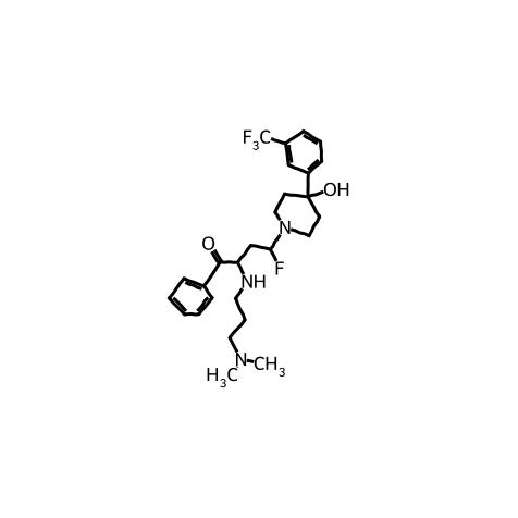 CN(C)CCCNC(CC(F)N1CCC(O)(c2cccc(C(F)(F)F)c2)CC1)C(=O)c1ccccc1